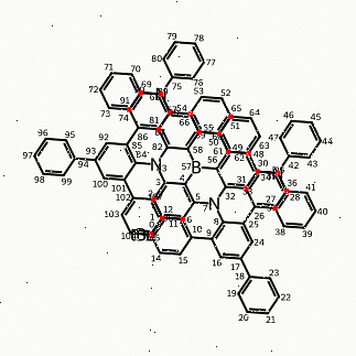 CC(C)(C)c1cc2c3c(c1)N(c1c(-c4ccccc4)cc(-c4ccccc4)cc1-c1ccccc1)c1cc(N(c4ccccc4)c4ccccc4)cc(-c4ccccc4)c1B3c1c(-c3ccccc3)cc(N(c3ccccc3)c3ccccc3)cc1N2c1c(-c2ccccc2)cc(-c2ccccc2)cc1-c1ccccc1